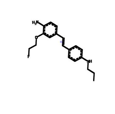 CCCNc1ccc(/C=C/c2ccc(N)c(OCCF)c2)cc1